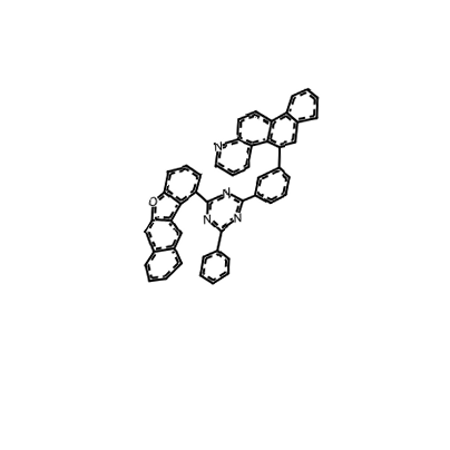 c1ccc(-c2nc(-c3cccc(-c4cc5ccccc5c5ccc6ncccc6c45)c3)nc(-c3cccc4oc5cc6ccccc6cc5c34)n2)cc1